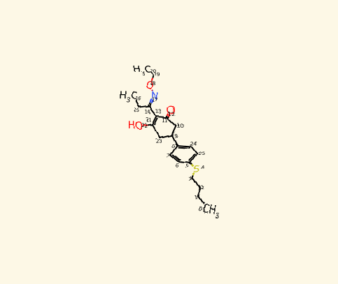 CCCCSc1ccc(C2CC(=O)C(C(CC)=NOCC)=C(O)C2)cc1